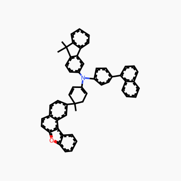 CC1(c2ccc3ccc4oc5ccccc5c4c3c2)C=CC(N(c2ccc(-c3cccc4ccccc34)cc2)c2ccc3c(c2)-c2ccccc2C3(C)C)=CC1